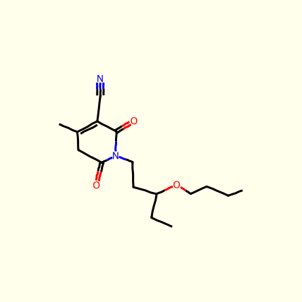 CCCCOC(CC)CCN1C(=O)CC(C)=C(C#N)C1=O